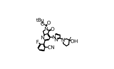 CC(C)(C)OC(=O)N1Cc2nc(-c3c(F)cccc3C#N)cc(-n3ccc(N4CCC[C@@](C)(O)C4)n3)c2C1=O